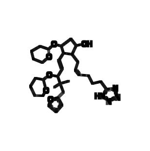 CC(C)(Cc1ccco1)C(C=CC1C(OC2CCCCO2)CC(O)C1C/C=C\CCCc1nnn[nH]1)OC1CCCCO1